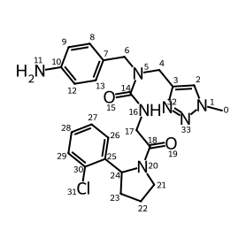 Cn1cc(CN(Cc2ccc(N)cc2)C(=O)NCC(=O)N2CCCC2c2ccccc2Cl)nn1